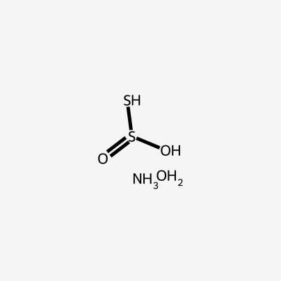 N.O.O=S(O)S